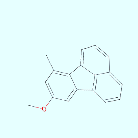 COc1cc(C)c2c(c1)-c1cccc3cccc-2c13